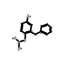 OB(O)Oc1ccc(O)cc1Cc1ccccc1